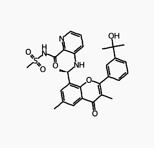 Cc1cc([C@@H](C)Nc2cccnc2C(=O)NS(C)(=O)=O)c2oc(-c3cccc(C(C)(C)O)c3)c(C)c(=O)c2c1